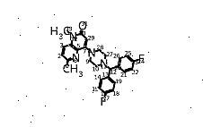 Cc1ccc2c(n1)c(N1CCN(C(c3ccc(F)cc3)c3ccc(F)cc3)CC1)cc(=O)n2C